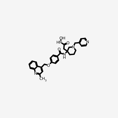 Cc1cc(COc2ccc(C(=O)NC3(CC(=O)NO)CCCN(Cc4ccncc4)C3)cc2)c2ccccc2n1